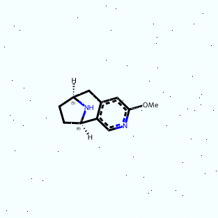 COc1cc2c(cn1)[C@H]1CC[C@@H](C2)N1